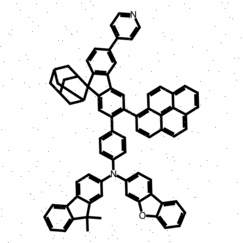 CC1(C)c2ccccc2-c2ccc(N(c3ccc(-c4cc5c(cc4-c4ccc6ccc7cccc8ccc4c6c78)-c4cc(-c6ccncc6)ccc4C54C5CC6CC(C5)CC4C6)cc3)c3ccc4c(c3)oc3ccccc34)cc21